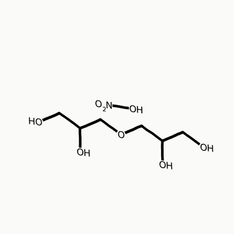 O=[N+]([O-])O.OCC(O)COCC(O)CO